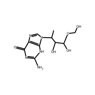 CC(C(O)C(O)OCO)n1cnc2c(=O)nc(N)[nH]c21